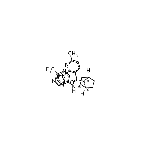 Cc1ccc(C(=O)N2[C@@H]3CC[C@H]2[C@H](Nc2cnc(C(F)(F)F)cn2)C3)c(-n2ccnn2)n1